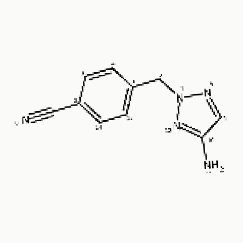 N#Cc1ccc(Cn2ncc(N)n2)cc1